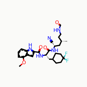 COc1cccc2[nH]c(C(=O)N[C@@H](CC3CCC(F)(F)CC3)C(=O)N[C@H](C#N)C[C@@H](C)CCNC=O)cc12